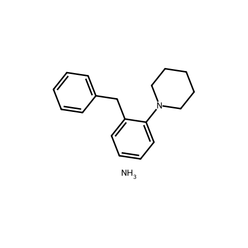 N.c1ccc(Cc2ccccc2N2CCCCC2)cc1